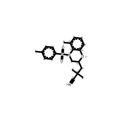 Cc1ccc(S(=O)(=O)N2CC(CC(C)(C)C#N)Oc3cccc(C)c32)cc1